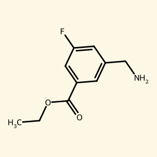 CCOC(=O)c1cc(F)cc(CN)c1